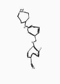 N#Cc1ccc(OCc2cccc(OC3CCNCC3)c2)c(F)c1